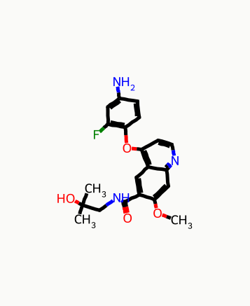 COc1cc2nccc(Oc3ccc(N)cc3F)c2cc1C(=O)NCC(C)(C)O